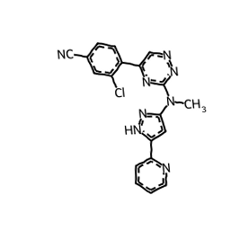 CN(c1cc(-c2ccccn2)[nH]n1)c1nncc(-c2ccc(C#N)cc2Cl)n1